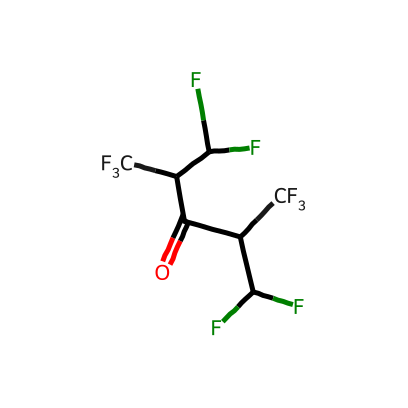 O=C(C(C(F)F)C(F)(F)F)C(C(F)F)C(F)(F)F